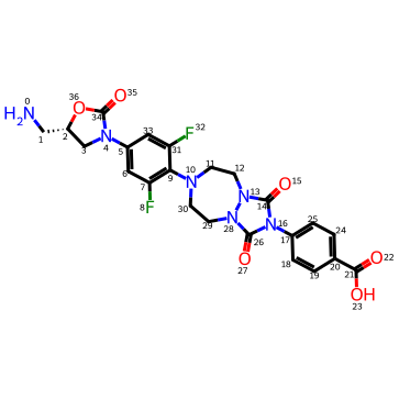 NC[C@H]1CN(c2cc(F)c(N3CCn4c(=O)n(-c5ccc(C(=O)O)cc5)c(=O)n4CC3)c(F)c2)C(=O)O1